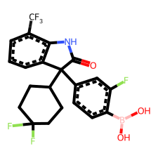 O=C1Nc2c(C(F)(F)F)cccc2C1(c1ccc(B(O)O)c(F)c1)C1CCC(F)(F)CC1